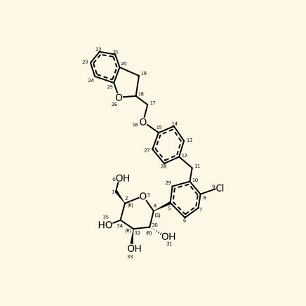 OC[C@H]1O[C@@H](c2ccc(Cl)c(Cc3ccc(OCC4Cc5ccccc5O4)cc3)c2)[C@H](O)[C@@H](O)C1O